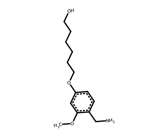 COc1cc(OCCCCCCO)ccc1CN